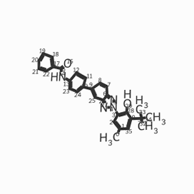 Cc1cc(-n2nc3ccc(-c4ccc(NC(=O)c5ccccc5)cc4)cc3n2)c(O)c(C(C)(C)C)c1